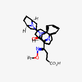 CC(C)O/N=C(\CCC(=O)O)c1nc2ccccc2n(C2C[C@H]3CC[C@@H](C2)N3C2C[C@H]3CCCC[C@@H](C2)C3)c1=O